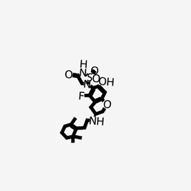 CC1=C(CCN[C@@H]2COc3cc(O)c(N4CC(=O)NS4(=O)=O)c(F)c3C2)C(C)(C)CCC1